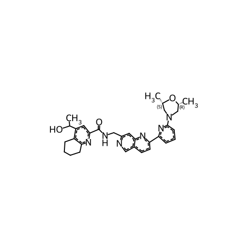 CC(O)c1cc(C(=O)NCc2cc3nc(-c4cccc(N5C[C@@H](C)O[C@@H](C)C5)n4)ccc3cn2)nc2c1CCCC2